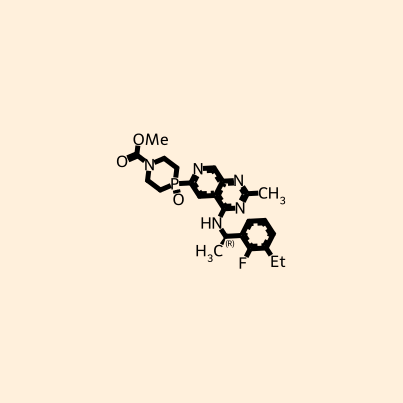 CCc1cccc([C@@H](C)Nc2nc(C)nc3cnc(P4(=O)CCN(C(=O)OC)CC4)cc23)c1F